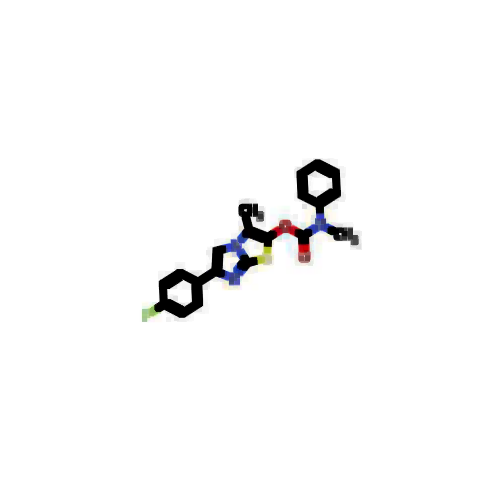 Cc1c(OC(=O)N(C)c2ccccc2)sc2nc(-c3ccc(F)cc3)cn12